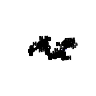 CO[C@H](C(C)OC(C)(C)C[C@H](C)/C=C/C=C(\C)[C@H]1O[C@@H](CC(=O)O)C[C@@H](OC(=O)N2CCCN(C(=O)OCc3ccc(NC(=O)[C@H](CCCNC(N)=O)NC(=O)[C@H](NC(=O)CCCCCN4C(=O)C=CC4=O)C(C)C)cc3)CC2)[C@@H]1C)[C@@H](C)O